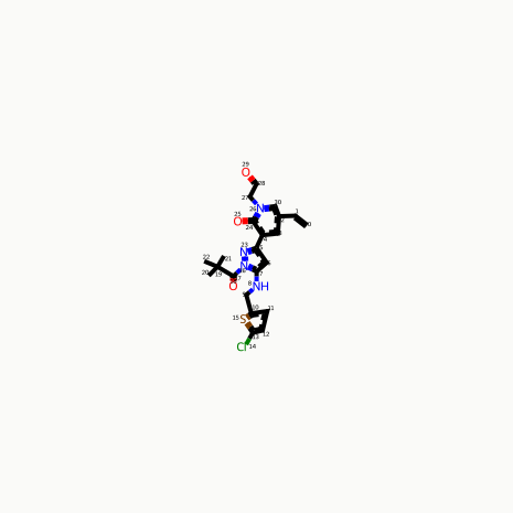 C=Cc1cc(-c2cc(NCc3ccc(Cl)s3)n(C(=O)C(C)(C)C)n2)c(=O)n(CC=O)c1